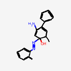 Cc1ccccc1N=NC1(O)C=C(N)C(c2ccccc2)=CC1C